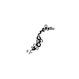 CC(C)(C)OC(=O)N1CC(/C=C/CN2CCC(F)(C(=O)N3CCC(Oc4cc(C(F)(F)F)sc4C#N)CC3)CC2)C1